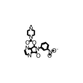 CN1CCN(C(=O)OC2c3nccnc3C(=O)N2c2cccc([N+](=O)[O-])c2)CC1